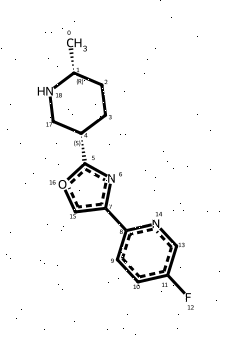 C[C@@H]1CC[C@H](c2nc(-c3ccc(F)cn3)co2)CN1